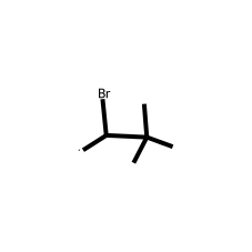 [CH2]C(Br)C(C)(C)C